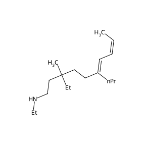 C/C=C\C=C(/CCC)CCC(C)(CC)CCNCC